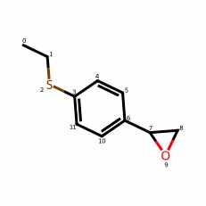 CCSc1ccc(C2CO2)cc1